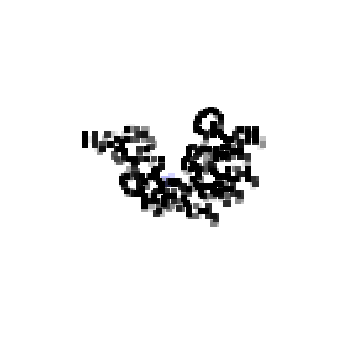 C/C(=C\[C@H](C(C)C)N(C)C(=O)[C@@H](NC(=O)C1CCCCN1C(C)C)C(C)C)C(=O)N1CCC[C@H]1C(=O)OC(C)C